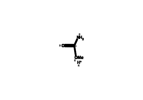 COC(N)=O.[H+]